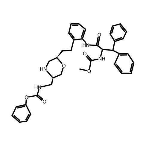 COC(=O)NC(C(=O)Nc1ccccc1CC[C@@H]1CN[C@H](CNC(=O)Oc2ccccc2)CO1)C(c1ccccc1)c1ccccc1